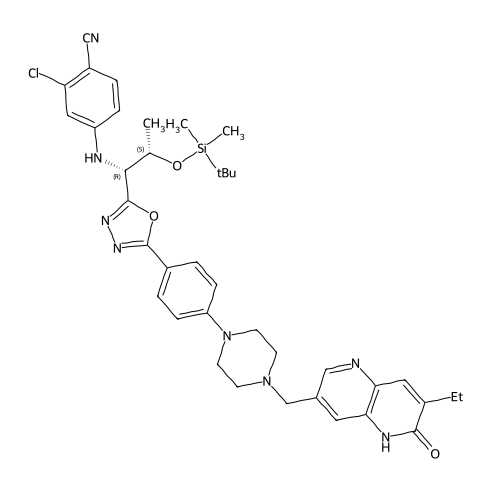 CCc1cc2ncc(CN3CCN(c4ccc(-c5nnc([C@H](Nc6ccc(C#N)c(Cl)c6)[C@H](C)O[Si](C)(C)C(C)(C)C)o5)cc4)CC3)cc2[nH]c1=O